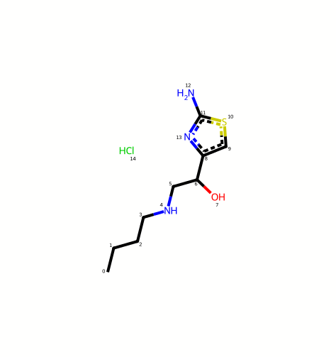 CCCCNCC(O)c1csc(N)n1.Cl